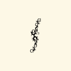 C\C=C/C(=C\C=N\CCOCCCl)c1cc[n+](CCOCCCl)cc1